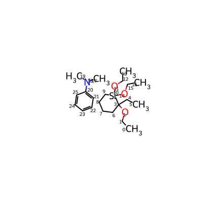 CCOC1(CC)CCCC[Si]1(OCC)OCC.CN(C)c1ccccc1